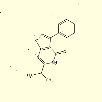 CC(C)c1nc2scc(-c3ccccc3)c2c(=O)[nH]1